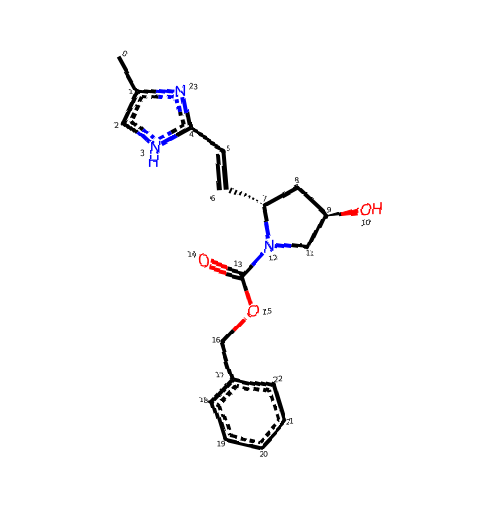 Cc1c[nH]c(C=C[C@@H]2C[C@@H](O)CN2C(=O)OCc2ccccc2)n1